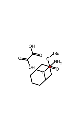 CC(C)(C)OC(=O)N1C2CCCC1CC(N)C2.O=C(O)C(=O)O